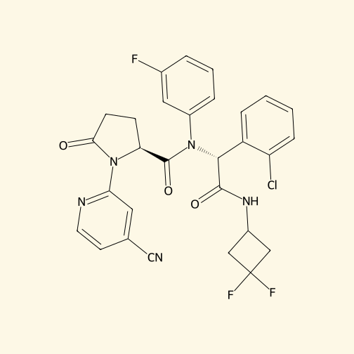 N#Cc1ccnc(N2C(=O)CC[C@H]2C(=O)N(c2cccc(F)c2)[C@@H](C(=O)NC2CC(F)(F)C2)c2ccccc2Cl)c1